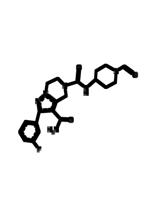 NC(=O)c1c(-c2cccc(F)c2)nn2c1CN(C(=O)NC1CCN(C=O)CC1)CC2